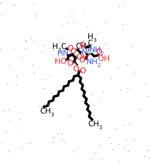 CCCCCCCCCCCCCCC(CCCCCCCCCCCCCC)C(=O)OC[C@H]1O[C@H](O)[C@H](NC(C)=O)[C@@H](OC(C)CN(C(=O)[C@H](C)N)[C@H](CCC(=O)O)C(N)=O)[C@@H]1O